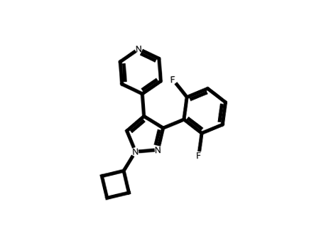 Fc1cccc(F)c1-c1nn(C2CCC2)cc1-c1ccncc1